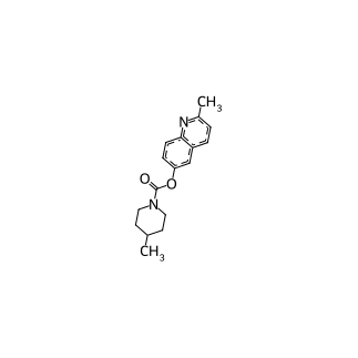 Cc1ccc2cc(OC(=O)N3CCC(C)CC3)ccc2n1